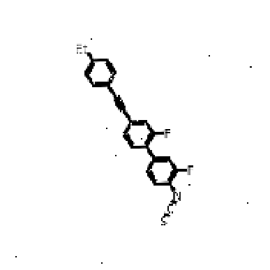 CCc1ccc(C#Cc2ccc(-c3ccc(N=C=S)c(F)c3)c(F)c2)cc1